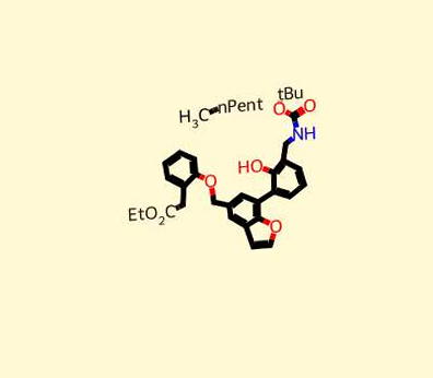 CCCCCC.CCOC(=O)Cc1ccccc1OCc1cc(-c2cccc(CNC(=O)OC(C)(C)C)c2O)c2occc2c1